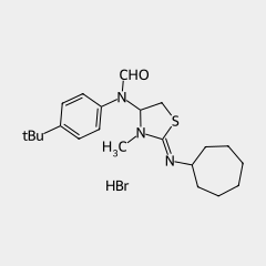 Br.CN1C(=NC2CCCCCC2)SCC1N(C=O)c1ccc(C(C)(C)C)cc1